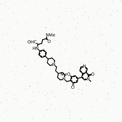 CNC(=O)CCC(C=O)Nc1ccc(C2CCN(CCC3CCN(Cc4c(Cl)cc(-c5cn(C)c(=O)c6cnccc56)cc4OC)CC3)CC2)cc1